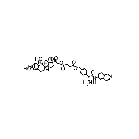 C[C@]12C=CC(O)C=C1CC[C@@H]1[C@@H]2[C@@H](O)C[C@@]2(C)[C@H]1CC[C@]2(O)C(=O)COC(=O)CCC(=O)OCc1ccc([C@@H](CN)C(=O)Nc2ccc3cnccc3c2)cc1